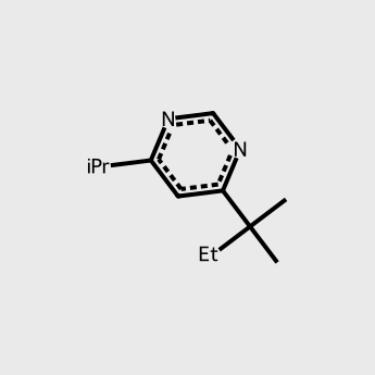 CCC(C)(C)c1cc(C(C)C)ncn1